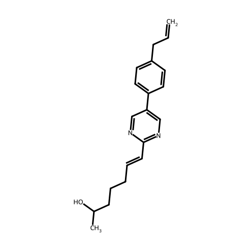 C=CCc1ccc(-c2cnc(C=CCCCC(C)O)nc2)cc1